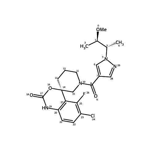 CO[C@H](C)[C@H](C)n1cc(C(=O)N2CCC[C@@]3(C2)OC(=O)Nc2ccc(Cl)c(F)c23)cn1